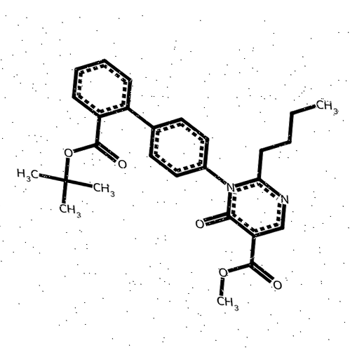 CCCCc1ncc(C(=O)OC)c(=O)n1-c1ccc(-c2ccccc2C(=O)OC(C)(C)C)cc1